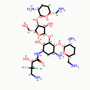 NC[C@@H]1CC[C@@H](N)[C@@H](O[C@H]2[C@H](O[C@@H]3O[C@H](CO)[C@@H](O[C@H]4O[C@@H](CN)CC[C@H]4N)[C@H]3O)[C@@H](O)[C@H](NC(=O)[C@@H](O)C(F)(F)CN)C[C@@H]2N)O1